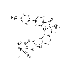 Cc1ccc(N2CCN(C(=S)C(C)(C)OC3CCC(Nc4ccc(C)c(C(F)(F)F)c4)CC3)CC2)cc1